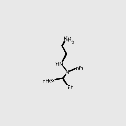 [CH2]CCCCCC(CC)N(CCC)NCCN